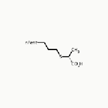 CCCCCCCCS[C@H](C)C(=O)O